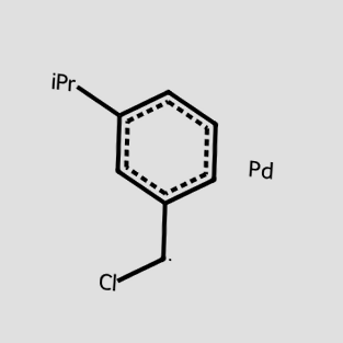 CC(C)c1cccc([CH]Cl)c1.[Pd]